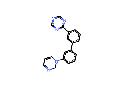 C1=CN(c2cccc(-c3cccc(-c4ncncn4)c3)c2)CN=C1